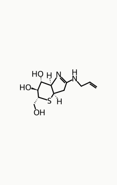 C=CCNC1=N[C@@H]2[C@@H](O)[C@H](O)[C@@H](CO)S[C@@H]2C1